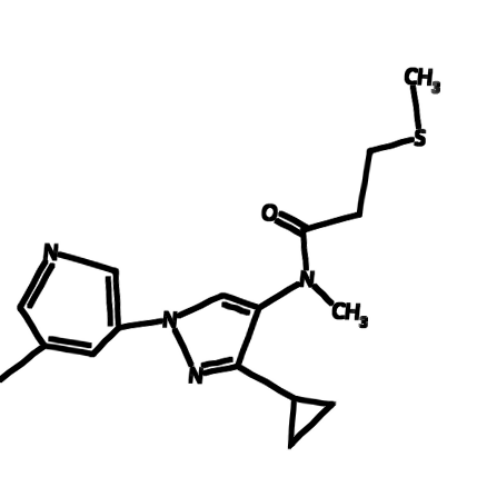 CSCCC(=O)N(C)c1cn(-c2cncc(F)c2)nc1C1CC1